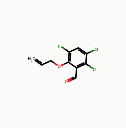 C=CCOc1c(Cl)cc(Cl)c(Cl)c1C=O